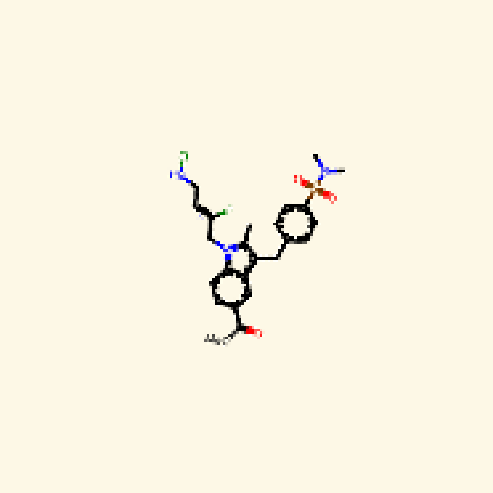 COC(=O)c1ccc2c(c1)c(Cc1ccc(S(=O)(=O)N(C)C)cc1)c(C)n2C/C(F)=C/CNCl